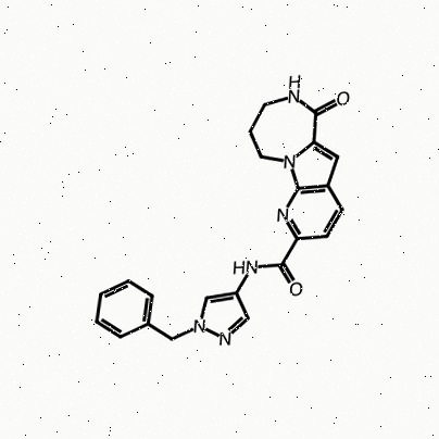 O=C(Nc1cnn(Cc2ccccc2)c1)c1ccc2cc3n(c2n1)CCCNC3=O